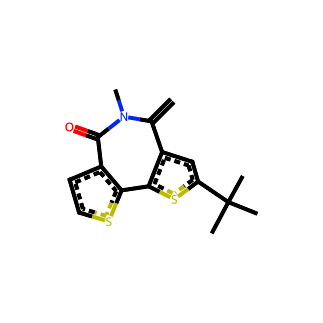 C=C1c2cc(C(C)(C)C)sc2-c2sccc2C(=O)N1C